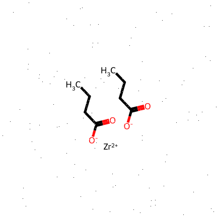 CCCC(=O)[O-].CCCC(=O)[O-].[Zr+2]